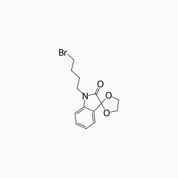 O=C1N(CCCCBr)c2ccccc2C12OCCO2